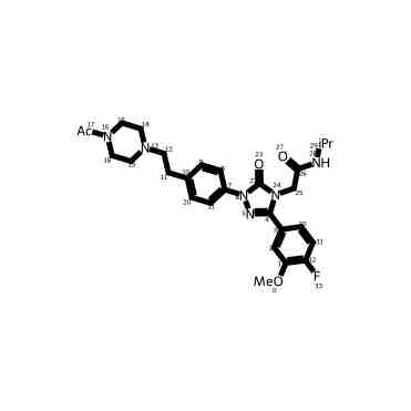 COc1cc(-c2nn(-c3ccc(CCN4CCN(C(C)=O)CC4)cc3)c(=O)n2CC(=O)NC(C)C)ccc1F